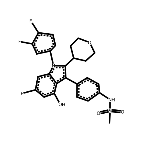 CS(=O)(=O)Nc1ccc(-c2c(C3CCOCC3)n(-c3ccc(F)c(F)c3)c3cc(F)cc(O)c23)cc1